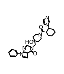 O=C([C@@H]1CCCC[C@H]1n1ccnc1)N1CCC(O)(Cn2cnc3c(ccn3-c3ccccc3)c2=O)CC1